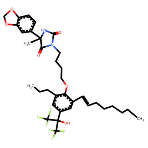 CCCCCCC=Cc1cc(C(O)(C(F)(F)F)C(F)(F)F)cc(CCC)c1OCCCCN1C(=O)NC(C)(c2ccc3c(c2)OCO3)C1=O